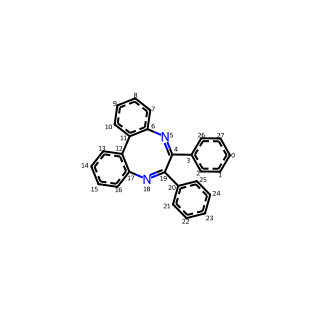 c1ccc(C2=Nc3ccccc3-c3ccccc3N=C2c2ccccc2)cc1